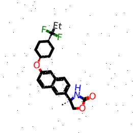 CCC(F)(F)[C@H]1CC[C@@H](Oc2ccc3cc([C@]4(C)COC(=O)N4)ccc3c2)CC1